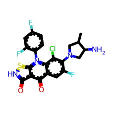 CC1CN(c2c(F)cc3c(=O)c4c(=O)[nH]sc4n(-c4ccc(F)cc4F)c3c2Cl)CC1N